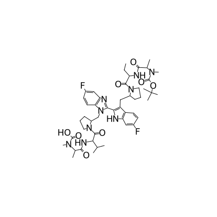 CCC(NC(=O)C(C)N(C)C(=O)OC(C)(C)C)C(=O)N1CCCC1Cc1c(-c2nc3cc(F)ccc3n2CC2CCCN2C(=O)C(NC(=O)C(C)N(C)C(=O)O)C(C)C)[nH]c2cc(F)ccc12